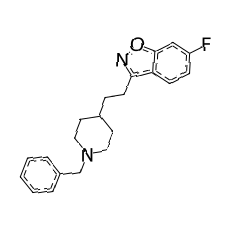 Fc1ccc2c(CCC3CCN(Cc4ccccc4)CC3)noc2c1